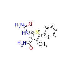 Cc1c(-c2ccccc2)sc(NC(N)=O)c1C(N)=O